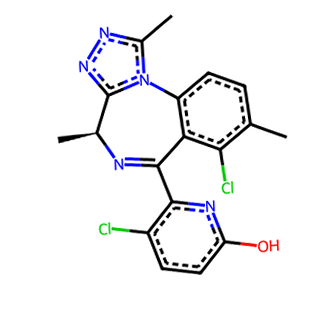 Cc1ccc2c(c1Cl)C(c1nc(O)ccc1Cl)=N[C@@H](C)c1nnc(C)n1-2